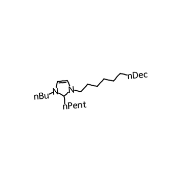 CCCCCCCCCCCCCCCCN1C=CN(CCCC)C1CCCCC